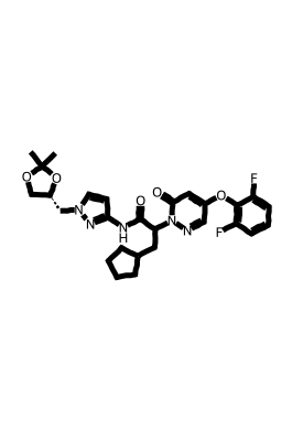 CC1(C)OC[C@@H](Cn2ccc(NC(=O)C(CC3CCCC3)n3ncc(Oc4c(F)cccc4F)cc3=O)n2)O1